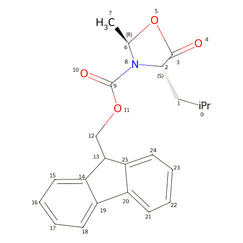 CC(C)C[C@H]1C(=O)O[C@H](C)N1C(=O)OCC1c2ccccc2-c2ccccc21